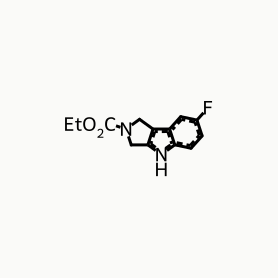 CCOC(=O)N1Cc2[nH]c3ccc(F)cc3c2C1